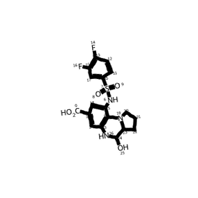 O=C(O)c1cc2c(c(NS(=O)(=O)c3ccc(F)c(F)c3)c1)N1CCCC1C(O)N2